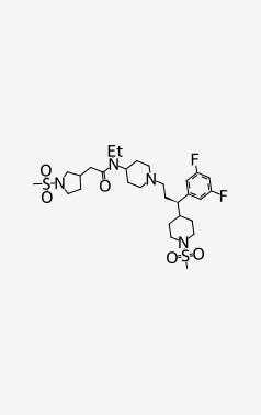 CCN(C(=O)CC1CCN(S(C)(=O)=O)C1)C1CCN(CC[C@@H](c2cc(F)cc(F)c2)C2CCN(S(C)(=O)=O)CC2)CC1